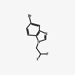 FC(F)Cn1cnc2cc(Br)ccc21